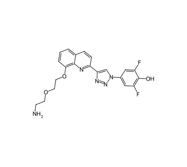 NCCOCCOc1cccc2ccc(-c3cn(-c4cc(F)c(O)c(F)c4)nn3)nc12